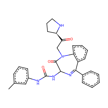 Cc1cccc(NC(=O)NC2N=C(c3ccccc3)c3ccccc3N(CC(=O)[C@H]3CCCN3)C2=O)c1